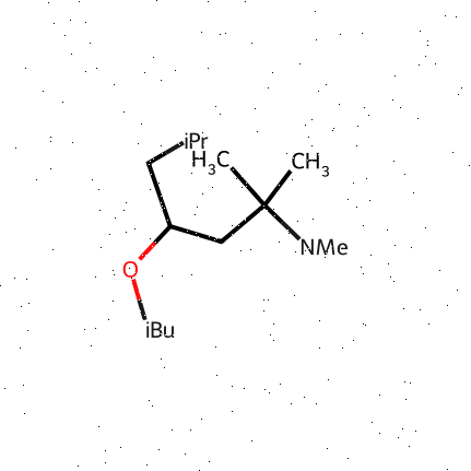 CCC(C)OC(CC(C)C)CC(C)(C)NC